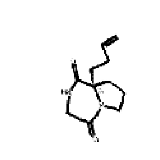 C=CCC[C@@]12CCCN1C(=O)CNC2=O